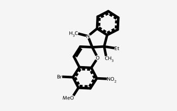 CCC1(C)c2ccccc2N(C)C12C=Cc1c(Br)c(OC)cc([N+](=O)[O-])c1O2